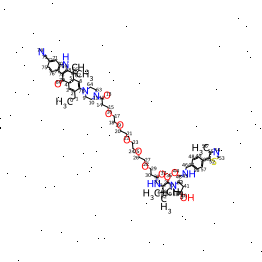 CCc1cc2c(cc1N1CCN(C(=O)CCOCCOCCOCCOCCOCCC(=O)NC(C(=O)N3C[C@H](O)C[C@H]3C(=O)NCc3ccc(-c4scnc4C)cc3)C(C)(C)C)CC1)C(C)(C)c1[nH]c3cc(C#N)ccc3c1C2=O